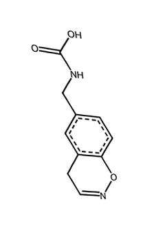 O=C(O)NCc1ccc2c(c1)CC=NO2